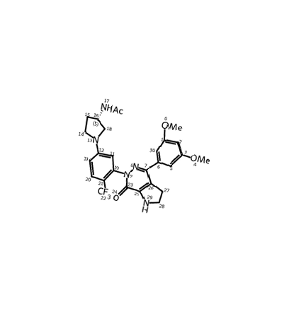 COc1cc(OC)cc(-c2nn(-c3cc(N4CC[C@H](NC(C)=O)C4)ccc3C(F)(F)F)c(=O)c3c2CCN3)c1